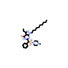 CCCCCCCCCCn1nc(CC)c2c(=O)[nH]c(C(c3ccccc3)S(=O)(=O)N3CCN(C)CC3)nc21